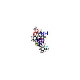 CCOC(=O)C1=C(C)NC(C)=C(C(=O)OCC)C1c1ccccc1Nc1nc(-c2cccc(F)c2)cs1